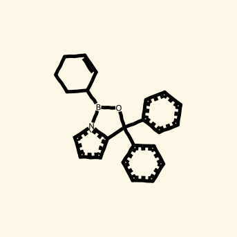 C1=CC(B2OC(c3ccccc3)(c3ccccc3)c3cccn32)CCC1